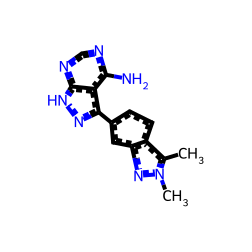 Cc1c2ccc(-c3n[nH]c4ncnc(N)c34)cc2nn1C